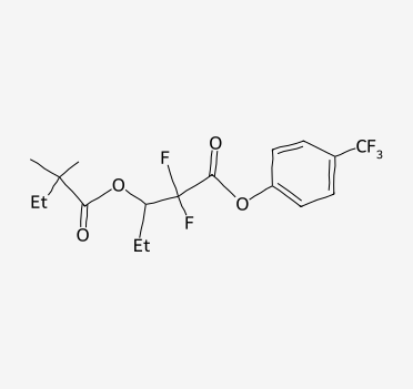 CCC(OC(=O)C(C)(C)CC)C(F)(F)C(=O)Oc1ccc(C(F)(F)F)cc1